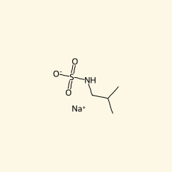 CC(C)CNS(=O)(=O)[O-].[Na+]